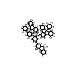 CC1(C)c2ccccc2-c2ccc(-c3cccc(N(c4ccc5c(c4)C(c4ccccc4)(c4ccccc4)c4ccccc4-5)c4ccc5c(c4)C(c4ccccc4)(c4ccccc4)c4ccccc4-5)c3)cc21